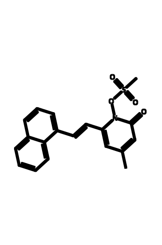 Cc1cc(/C=C/c2cccc3ccccc23)n(OS(C)(=O)=O)c(=O)c1